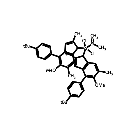 COc1c(C)cc2c(c1-c1ccc(C(C)(C)C)cc1)C=C(C)[CH]2[Zr]([Cl])([Cl])([CH]1C(C)=Cc2c1cc(C)c(OC)c2-c1ccc(C(C)(C)C)cc1)[SiH](C)C